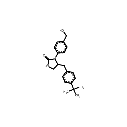 CC(C)(C)c1ccc(CC2CNC(=O)N2c2ccc(CO)cc2)cc1